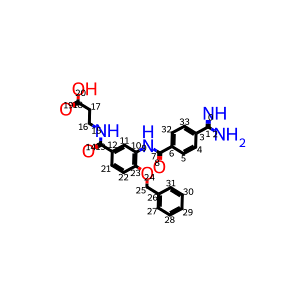 N=C(N)c1ccc(C(=O)Nc2cc(C(=O)NCCC(=O)O)ccc2OCc2ccccc2)cc1